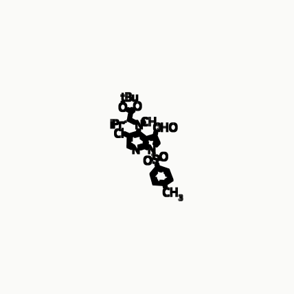 Cc1ccc(S(=O)(=O)n2cc(C=O)c3c(N(C)[C@@H](C(=O)OC(C)(C)C)C(C)C)c(Cl)cnc32)cc1